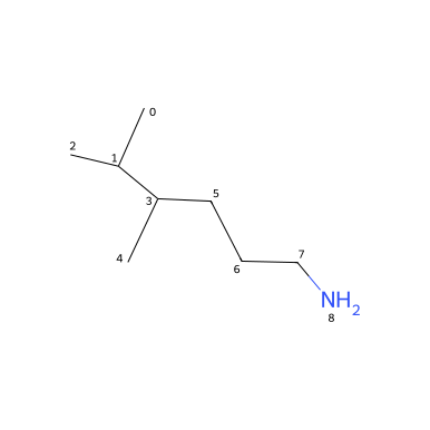 CC(C)C(C)CCCN